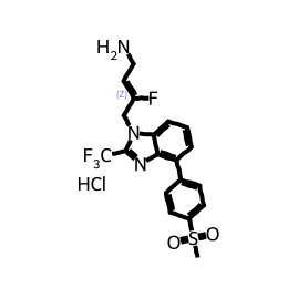 CS(=O)(=O)c1ccc(-c2cccc3c2nc(C(F)(F)F)n3C/C(F)=C/CN)cc1.Cl